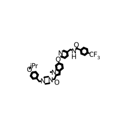 CC(C)Oc1ccc(CN2CCN(C(=O)c3cc4ccc(Oc5ccc(CNC(=O)c6ccc(C(F)(F)F)cc6)cn5)cc4n3C)CC2)cc1